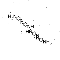 Nc1ccc(/N=N/c2ccc(NCCNc3ccc(/N=N/c4ccc(N)cc4)cc3)cc2)cc1